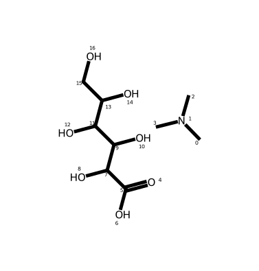 CN(C)C.O=C(O)C(O)C(O)C(O)C(O)CO